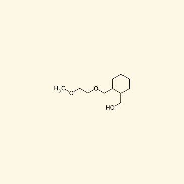 COCCOCC1CCCCC1CO